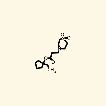 CCC1(OC(=O)CCN2CCS(=O)(=O)CC2)CCCC1